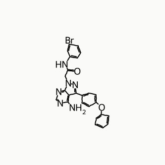 Nc1ncnc2c1c(-c1ccc(Oc3ccccc3)cc1)nn2CC(=O)Nc1cccc(Br)c1